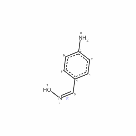 Nc1ccc(/C=N\O)cc1